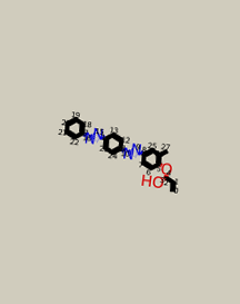 C=CC(O)Oc1ccc(/N=N/c2ccc(/N=N/c3ccccc3)cc2)cc1C